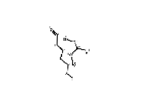 CCCCCCC=O.CCOC(O)OCC